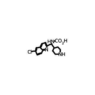 O=C(O)NC(c1ccc2cc(Cl)ccc2n1)C1CCNCC1